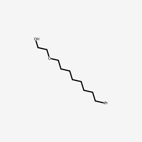 CC(C)CCCCCCCCOCCO